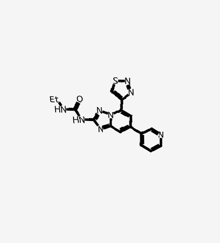 CCNC(=O)Nc1nc2cc(-c3cccnc3)cc(-c3csnn3)n2n1